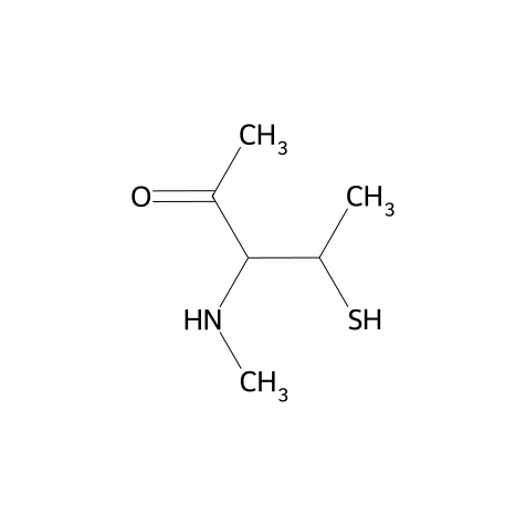 CNC(C(C)=O)C(C)S